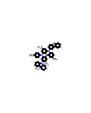 Cc1cc2c3c(c1)N(c1ccc(C(C)(C)C)cc1)c1cc(N4c5ccccc5C5(C)CCCCC45C)ccc1B3c1cc(C(C)(C)C)ccc1N2c1ccc2sc3ccccc3c2c1